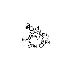 CC(C)(CCn1c(=O)[nH]c2ccccc21)NCC(O)c1cc(O)cc2c1OCC(=O)N2.O=C(O)C=CC(=O)O